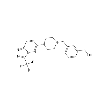 OCc1cccc(CN2CCN(c3ccc4nnc(C(F)(F)F)n4n3)CC2)c1